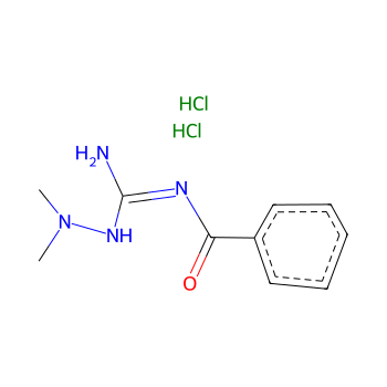 CN(C)NC(N)=NC(=O)c1ccccc1.Cl.Cl